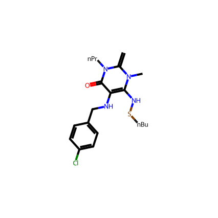 C=C1N(C)C(NSCCCC)=C(NCc2ccc(Cl)cc2)C(=O)N1CCC